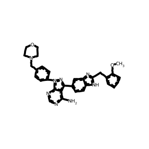 COc1ccccc1Cc1nc2cc(-c3nn(-c4ccc(CN5CCOCC5)cc4)c4ncnc(N)c34)ccc2[nH]1